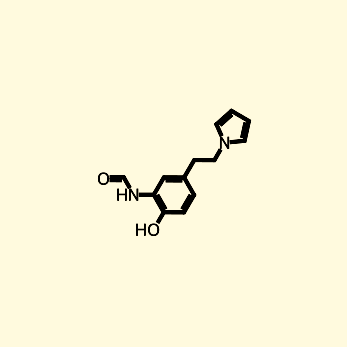 O=CNc1cc(CCn2cccc2)ccc1O